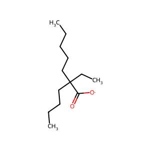 CCCCCC(CC)(CCCC)C([O])=O